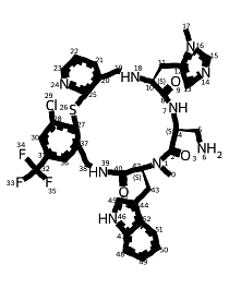 CN1C(=O)[C@H](CN)NC(=O)[C@H](Cc2cncn2C)NCc2cccnc2Sc2c(Cl)cc(C(F)(F)F)cc2CNC(=O)[C@@H]1Cc1c[nH]c2ccccc12